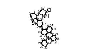 ClC1=CN[C@@H](c2cc#cc3sc4cc(-c5ccc(N(c6ccccc6)c6ccccc6)c6ccccc56)ccc4c23)C=C1